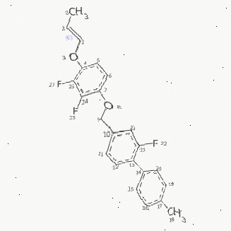 C/C=C/Oc1ccc(OCc2ccc(-c3ccc(C)cc3)c(F)c2)c(F)c1F